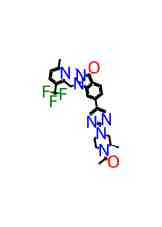 CC(=O)N1CCN(c2ncc(-c3ccc4c(=O)n(C)n(Cc5nc(C)ccc5C(F)(F)F)c4c3)cn2)C[C@H]1C